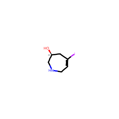 O[C@@H]1CNCC=C(I)C1